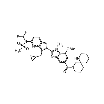 COc1cc(C(=O)N2CCCC3(CCCCN3)C2)cc2nc(-c3cc4ccc(N(C(F)F)S(C)(=O)=O)nc4n3CC3CC3)n(C)c12